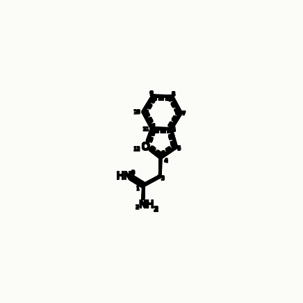 N=C(N)Cc1cc2ccccc2o1